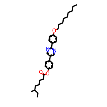 CCCCCCCCCOc1ccc(-c2ncc(-c3ccc(OC(=O)CCCCC(C)CC)cc3)cn2)cc1